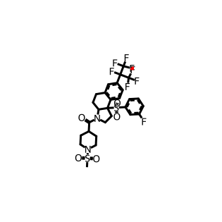 CS(=O)(=O)N1CCC(C(=O)N2CCC3(S(=O)(=O)c4cccc(F)c4)c4ccc(C(F)(C(F)(F)F)C(F)(F)F)cc4CCC23)CC1